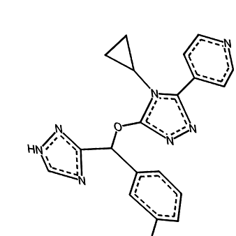 Clc1cccc(C(Oc2nnc(-c3ccncc3)n2C2CC2)c2nc[nH]n2)c1